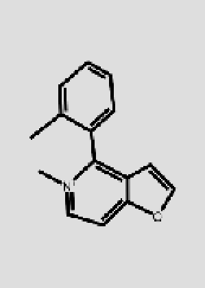 Cc1ccccc1-c1c2ccoc2cc[n+]1C